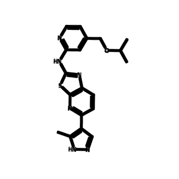 Cc1[nH]ncc1-c1ccc2nc(Nc3cc(COC(C)C)ccn3)sc2n1